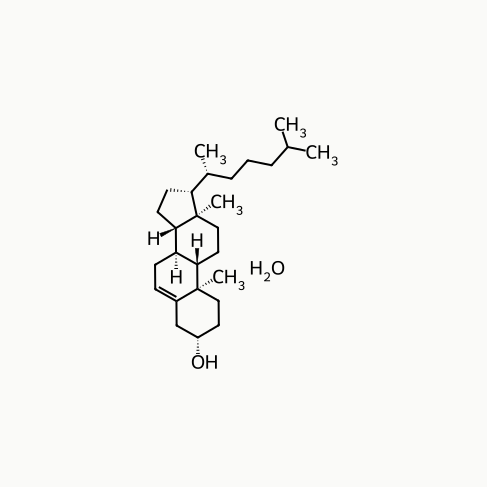 CC(C)CCC[C@@H](C)[C@H]1CC[C@H]2[C@@H]3CC=C4C[C@@H](O)CC[C@]4(C)[C@H]3CC[C@]12C.O